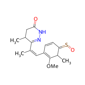 COC1=C(C=C(C)C2=NNC(=O)CC2C)C=CC(=S=O)C1C